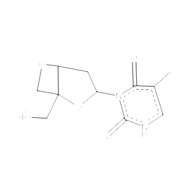 Cc1c[nH]c(=O)n(C2CC3OCC3(CO)O2)c1=O